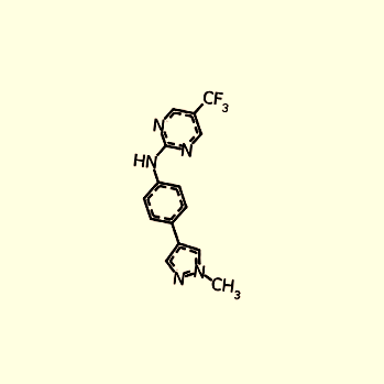 Cn1cc(-c2ccc(Nc3ncc(C(F)(F)F)cn3)cc2)cn1